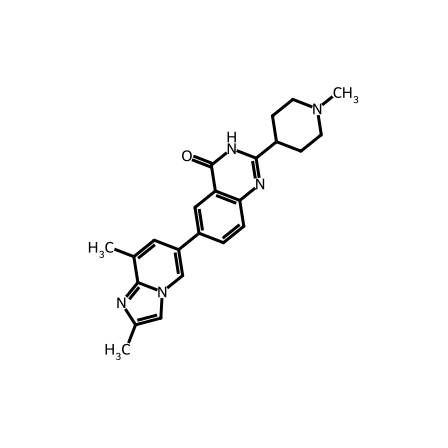 Cc1cn2cc(-c3ccc4nc(C5CCN(C)CC5)[nH]c(=O)c4c3)cc(C)c2n1